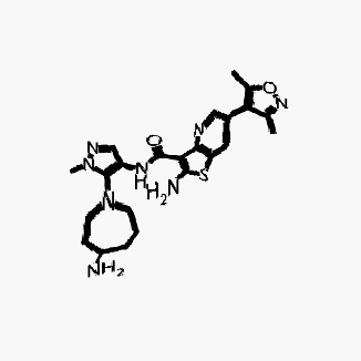 Cc1noc(C)c1-c1cnc2c(C(=O)Nc3cnn(C)c3N3CCC[C@@H](N)CC3)c(N)sc2c1